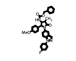 COc1ccc(C2C(NC(=O)OCc3ccccc3)C(C)C(=O)N2c2ccc3c(cnn3-c3ccc(F)cc3)c2)cc1